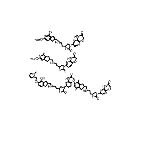 CN1CCCC1COc1ccc2c(c1C#N)CC(CNCCC1CN(c3ccc4c(n3)NC(=O)CO4)C(=O)O1)C2.COc1cc2c(c(Cl)n1)CC(CNCCC1CN(c3ccc4c(n3)NC(=O)CO4)C(=O)O1)C2.COc1cc2c(c(Cl)n1)CC(CNCCC1CN(c3cnc4c(n3)NC(=O)CO4)C(=O)O1)C2.Cc1ncc(F)c2c1CC(CNCCC1CN(c3cnc4c(n3)NC(=O)CO4)C(=O)O1)C2